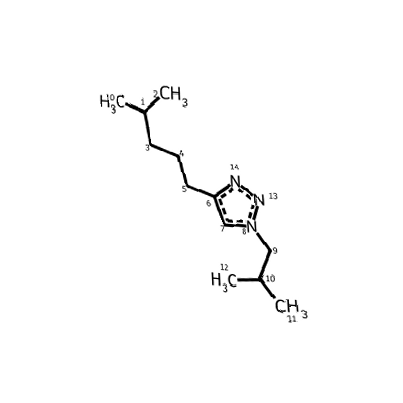 CC(C)CCCc1cn(CC(C)C)nn1